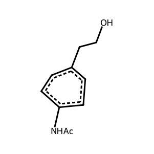 CC(=O)Nc1ccc(CCO)cc1